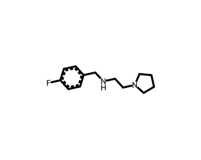 Fc1ccc(CNCCN2CCCC2)cc1